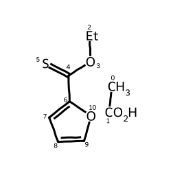 CC(=O)O.CCOC(=S)c1ccco1